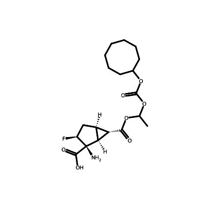 CC(OC(=O)OC1CCCCCCC1)OC(=O)[C@H]1[C@@H]2C[C@H](F)[C@@](N)(C(=O)O)[C@@H]21